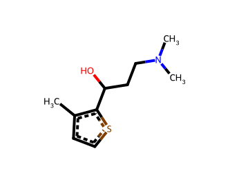 Cc1ccsc1C(O)CCN(C)C